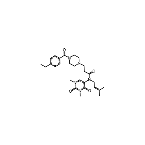 CCc1ccc(C(=O)N2CCN(CCC(=O)N(CC=C(C)C)c3cn(C)c(=O)n(C)c3=O)CC2)cc1